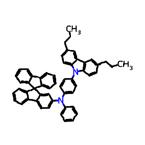 CCCc1ccc2c(c1)c1cc(CCC)ccc1n2-c1ccc(N(c2ccccc2)c2ccc3c(c2)C2(c4ccccc4-c4ccccc42)c2ccccc2-3)cc1